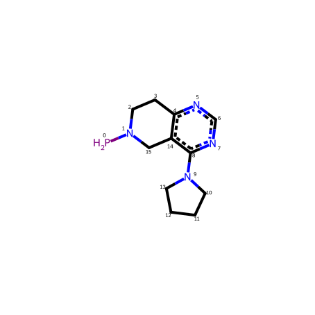 PN1CCc2ncnc(N3CCCC3)c2C1